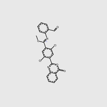 CO/C(=N\c1ccccc1C=O)c1cc(Cl)c(-c2nc3ccccc3c(=O)o2)cc1Cl